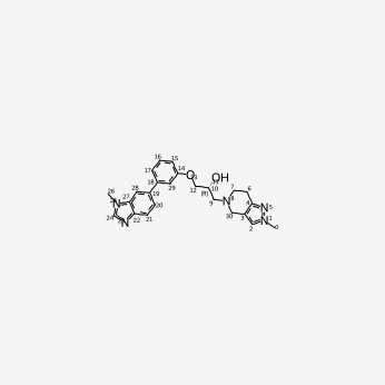 Cn1cc2c(n1)CCN(C[C@@H](O)COc1cccc(-c3ccc4ncn(C)c4c3)c1)C2